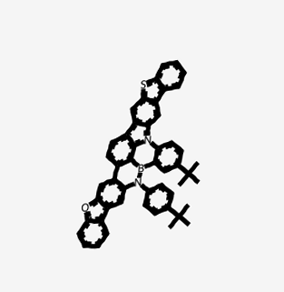 CC(C)(C)c1ccc(N2B3c4cc(C(C)(C)C)ccc4-n4c5cc6c(cc5c5ccc(c3c54)-c3cc4oc5ccccc5c4cc32)sc2ccccc26)cc1